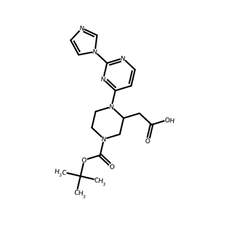 CC(C)(C)OC(=O)N1CCN(c2ccnc(-n3ccnc3)n2)C(CC(=O)O)C1